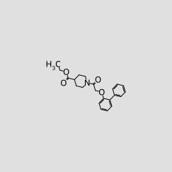 CCOC(=O)C1CCN(C(=O)COc2ccccc2-c2ccccc2)CC1